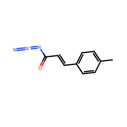 Cc1ccc(C=CC(=O)N=[N+]=[N-])cc1